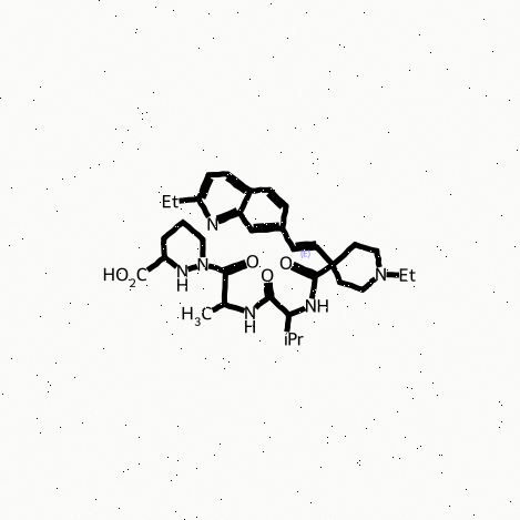 CCc1ccc2ccc(/C=C/C3(C(=O)NC(C(=O)NC(C)C(=O)N4CCCC(C(=O)O)N4)C(C)C)CCN(CC)CC3)cc2n1